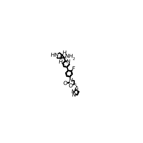 N[C@]1(c2ccc(-c3ccc(N4C[C@H](Cn5ccnn5)OC4=O)cc3F)cn2)[C@@H]2CNC[C@@H]21